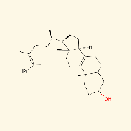 CC(CC[C@@H](C)[C@H]1CC[C@H]2C3=C(CC[C@]12C)[C@@]1(C)CCC(O)CC1CC3)=C(C)C(C)C